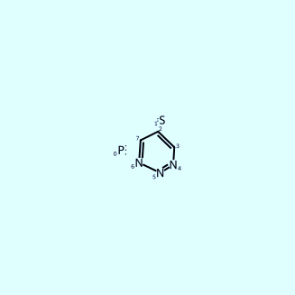 [P].[S].c1cnnnc1